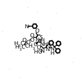 CC(C)(C)C(=O)OCOC(=O)C1=C(COc2cccc(C#N)c2)CS[C@@H]2C(NC(=O)/C(=N\O)c3csc(NC(c4ccccc4)(c4ccccc4)c4ccccc4)n3)C(=O)N12